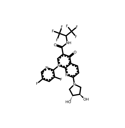 O=C(NC(C(F)(F)F)C(F)(F)F)c1cn(-c2ncc(F)cc2F)c2nc(N3C[C@@H](O)[C@H](O)C3)ccc2c1=O